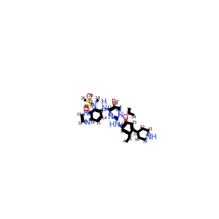 CCc1cc(Nc2ncc(Br)c(Nc3ccc4nccnc4c3N(C)S(C)(=O)=O)n2)c(OC(C)C)cc1C1CCNCC1